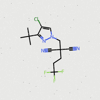 CC(C)(C)c1nn(CC(C#N)(C#N)CCC(F)(F)F)cc1Cl